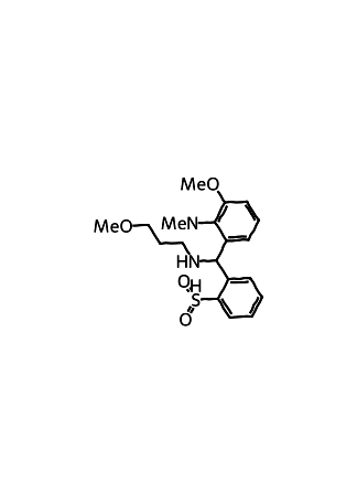 CNc1c(OC)cccc1C(NCCCOC)c1ccccc1[SH](=O)=O